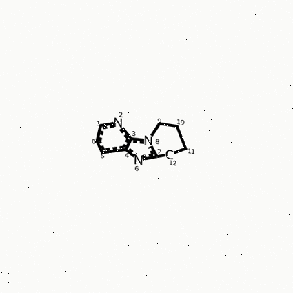 c1cnc2c(c1)nc1n2CCCC1